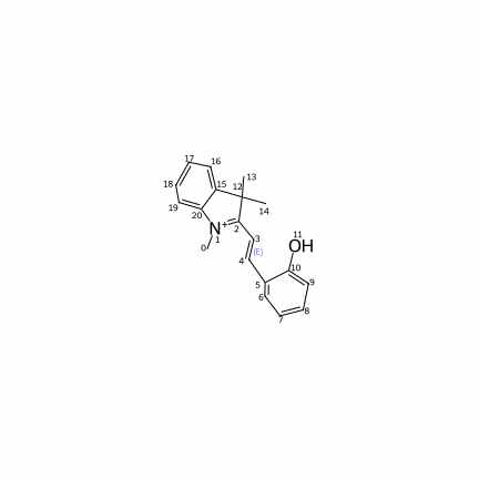 C[N+]1=C(/C=C/c2ccccc2O)C(C)(C)c2ccccc21